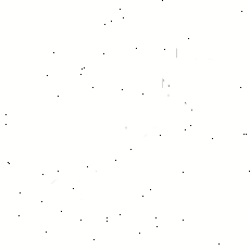 Cc1ccc(S(=O)(=O)OCc2ccc(-c3nc(C(F)(F)F)cn3C)cc2)cc1